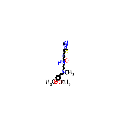 COc1ccc(CCN(C)CCCCNC(=O)C/C=C/c2cc(-n3ccnc3)cs2)cc1OC